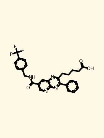 O=C(O)CCCCc1nc2cc(C(=O)NCc3ccc(C(F)(F)F)cc3)cnc2nc1-c1ccccc1